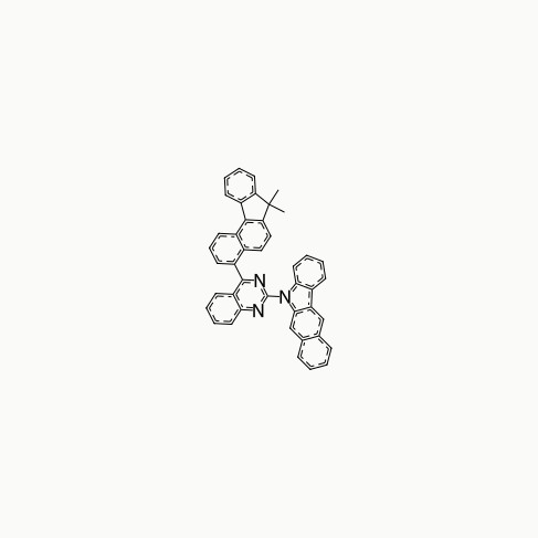 CC1(C)c2ccccc2-c2c1ccc1c(-c3nc(-n4c5ccccc5c5cc6ccccc6cc54)nc4ccccc34)cccc21